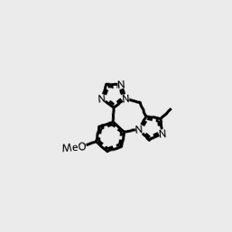 COc1ccc2c(c1)-c1ncnn1Cc1c(C)ncn1-2